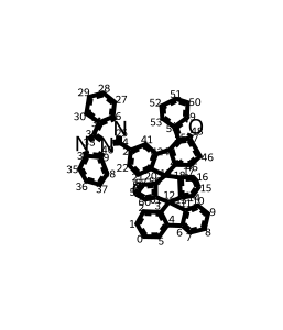 c1ccc2c(c1)-c1ccccc1C21c2ccccc2C2(c3ccc(-c4nc5ccccc5c5nc6ccccc6n45)cc3-c3c2ccc2oc4ccccc4c32)c2ccccc21